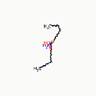 CCCCC/C=C\C/C=C\CCCCCCCCOCC(N)(CO)COCCCCCCCC/C=C\C/C=C/CCCCC